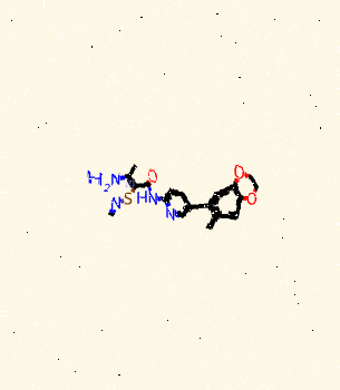 C=NS/C(C(=O)Nc1ccc(-c2cc3c(cc2C)OCCO3)cn1)=C(/C)N